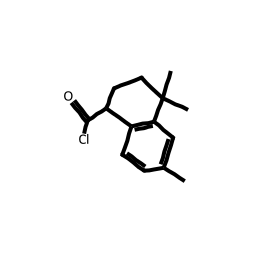 Cc1ccc2c(c1)C(C)(C)CCC2C(=O)Cl